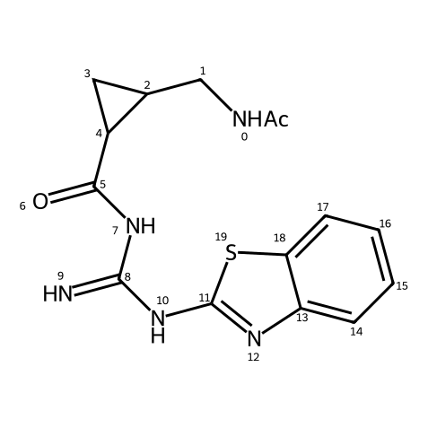 CC(=O)NCC1CC1C(=O)NC(=N)Nc1nc2ccccc2s1